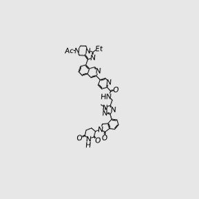 CCc1nc(-c2cccc3cc(-c4ccc(C(=O)NCc5nc(-c6cccc7c6CN(C6CCC(=O)NC6=O)C7=O)nn5C)nc4)ncc23)c2n1CCN(C(C)=O)C2